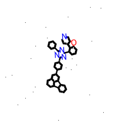 c1ccc(-c2nc(-c3ccc(-c4cc5c6c(cccc6c4)-c4ccccc4-5)cc3)nc(-c3cccc4oc5cnccc5c34)n2)cc1